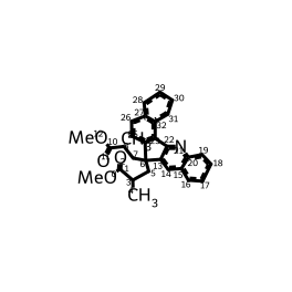 COC(=O)C(C)CC1(CC(C)C(=O)OC)c2cc3ccccc3nc2-c2c1ccc1ccccc21